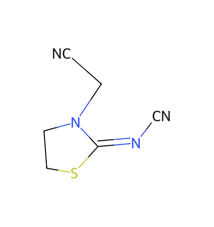 N#CCN1CCS/C1=N/C#N